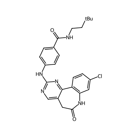 CC(C)(C)CCNC(=O)c1ccc(Nc2ncc3c(n2)-c2ccc(Cl)cc2NC(=O)C3)cc1